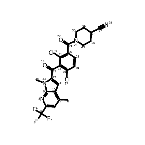 Cc1cc(C(F)(F)F)nc2c1cc(C(=O)c1c(Cl)ccc(C(=O)N3CCC(C#N)CC3)c1Cl)n2C